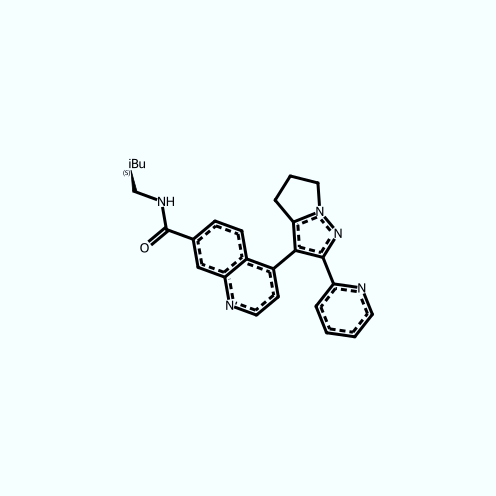 CC[C@H](C)CNC(=O)c1ccc2c(-c3c(-c4ccccn4)nn4c3CCC4)ccnc2c1